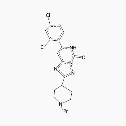 CC(C)N1CCC(c2nc3cc(-c4ccc(Cl)cc4Cl)[nH]c(=O)n3n2)CC1